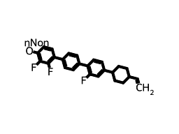 C=CC1CCC(c2ccc(-c3ccc(-c4ccc(OCCCCCCCCC)c(F)c4F)cc3)c(F)c2)CC1